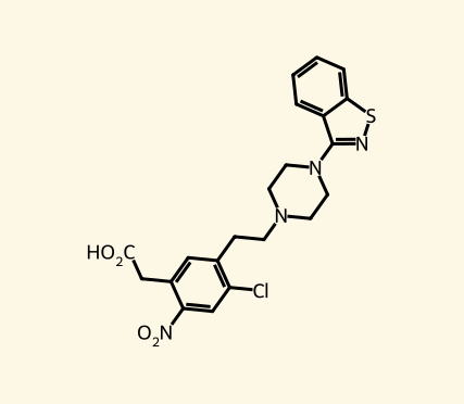 O=C(O)Cc1cc(CCN2CCN(c3nsc4ccccc34)CC2)c(Cl)cc1[N+](=O)[O-]